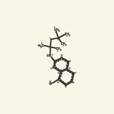 [CH2]C(C)(CC(C)(C)C)Nc1ncc2cccc(Br)c2n1